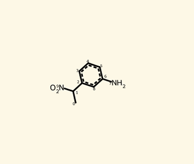 CC(c1cccc(N)c1)[N+](=O)[O-]